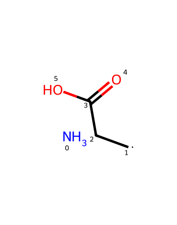 N.[CH2]CC(=O)O